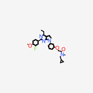 CCc1nc(-c2ccc(OC)c(F)c2)nc2c1ccn2-c1cccc(OCC(=O)N(C)CC2CC2)c1